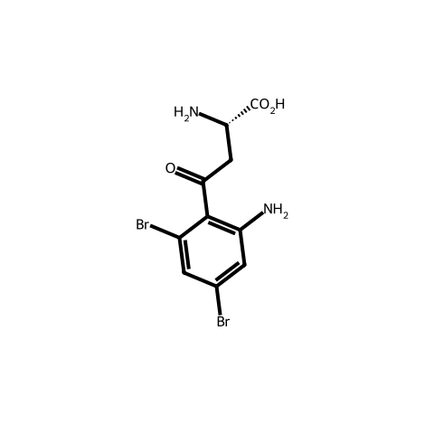 Nc1cc(Br)cc(Br)c1C(=O)C[C@H](N)C(=O)O